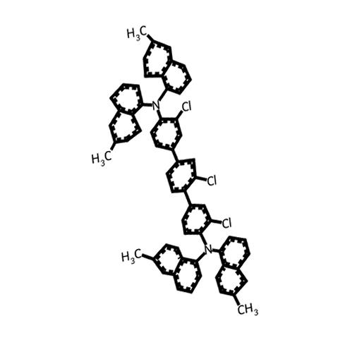 Cc1ccc2c(N(c3ccc(-c4ccc(-c5ccc(N(c6cccc7cc(C)ccc67)c6cccc7cc(C)ccc67)c(Cl)c5)c(Cl)c4)cc3Cl)c3cccc4cc(C)ccc34)cccc2c1